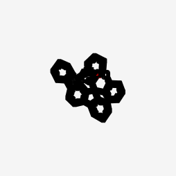 c1ccc(-n2c3ccccc3c3ccc4c(c32)C2(c3ccccc3Oc3ccccc32)c2ccccc2-4)cc1